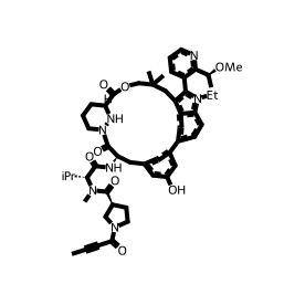 CC#CC(=O)N1CC[C@H](C(=O)N(C)[C@@H](C(=O)N[C@H]2Cc3cc(O)cc(c3)-c3ccc4c(c3)c(c(-c3cccnc3[C@H](C)OC)n4CC)CC(C)(C)COC(=O)[C@@H]3CCCN(N3)C2=O)C(C)C)C1